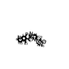 CC(c1c(F)cc2ncccc2c1F)c1cnc2ccc(N3CCN(C)C(=O)C3C)nn12